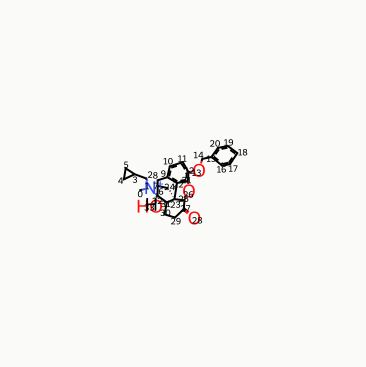 C[N+]1(CC2CC2)[C@@H]2C13Cc1ccc(OCc4ccccc4)c4c1[C@@]1(C3)C(O4)C(=O)CC[C@@]21O